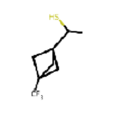 CC(S)C12CC(C(F)(F)F)(C1)C2